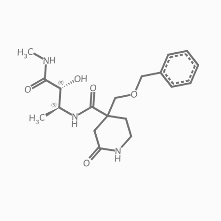 CNC(=O)[C@H](O)[C@H](C)NC(=O)C1(COCc2ccccc2)CCNC(=O)C1